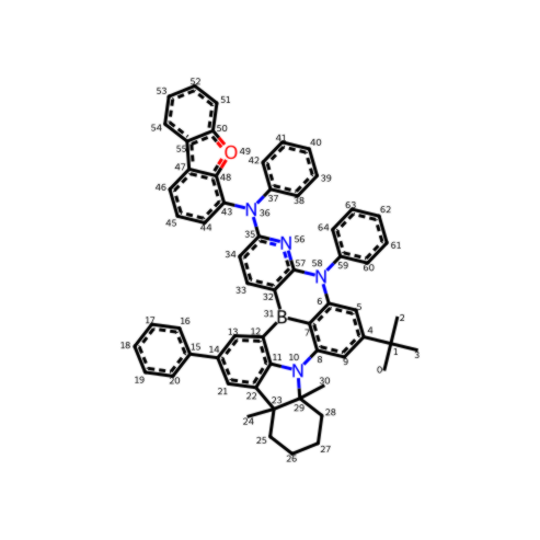 CC(C)(C)c1cc2c3c(c1)N1c4c(cc(-c5ccccc5)cc4C4(C)CCCCC14C)B3c1ccc(N(c3ccccc3)c3cccc4c3oc3ccccc34)nc1N2c1ccccc1